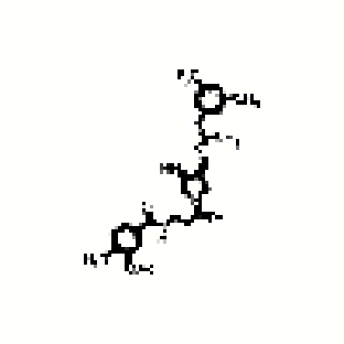 CCC(CCNC(=O)c1ccc(N)c(OC(C)=O)c1)N1CC(=N)/C(=C\N=C(/C)Nc2cc(C)cc(C(F)(F)F)c2)C1